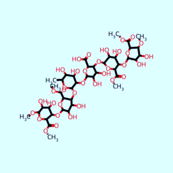 COC(=O)C1OC(OC2C(C(=O)OC)OC(OC3C(C(=O)O)OC(OC4C(OC5C(C(=O)OC)OC(OC6C(C(=O)OC)OC(OC)C(O)C6O)C(O)C5O)OC(C)C(O)C4O)C(O)C3O)C(O)C2O)C(O)C(O)C1OC